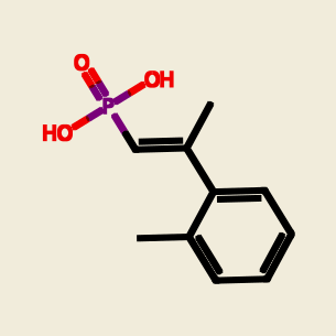 CC(=CP(=O)(O)O)c1ccccc1C